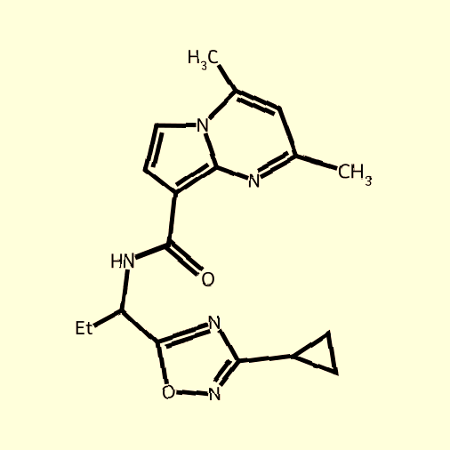 CCC(NC(=O)c1ccn2c(C)cc(C)nc12)c1nc(C2CC2)no1